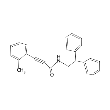 Cc1ccccc1C#CC(=O)NCC(c1ccccc1)c1ccccc1